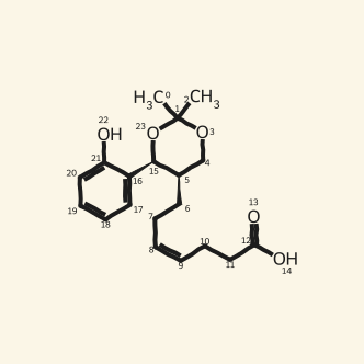 CC1(C)OC[C@@H](CC/C=C\CCC(=O)O)[C@@H](c2ccccc2O)O1